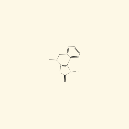 C=C1SC2=C(c3ccccc3CC2C)N1CC